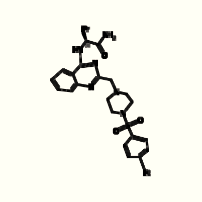 CCc1ccc(S(=O)(=O)N2CCN(Cc3nc(N[C@H](C(N)=O)C(C)C)c4ccccc4n3)CC2)cc1